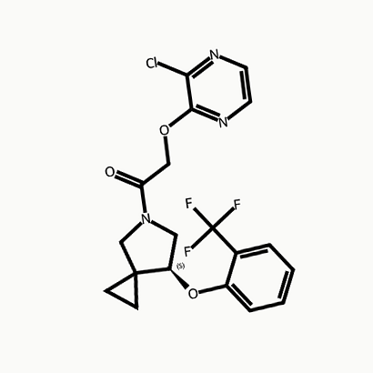 O=C(COc1nccnc1Cl)N1C[C@@H](Oc2ccccc2C(F)(F)F)C2(CC2)C1